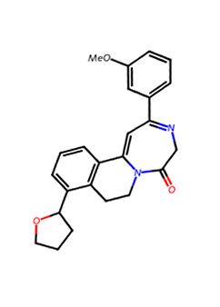 COc1cccc(C2=NCC(=O)N3CCc4c(cccc4C4CCCO4)C3=C2)c1